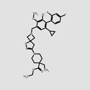 CCOC(=O)C1(CC)CCN(C2=NOC3(C2)CN(Cc2cc(C4CC4)c(-c4ccc(F)cc4F)c(Cl)c2OC)C3)CC1